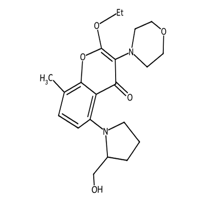 CCOc1oc2c(C)ccc(N3CCCC3CO)c2c(=O)c1N1CCOCC1